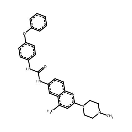 Cc1cc(N2CCN(C)CC2)nc2ccc(NC(=O)Nc3ccc(Oc4ccccc4)cc3)cc12